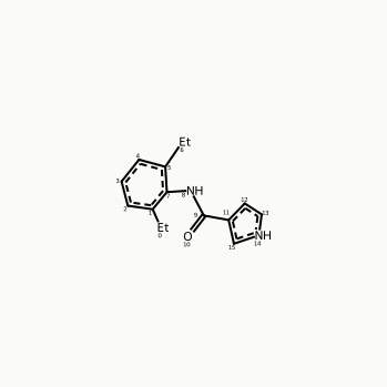 CCc1cccc(CC)c1NC(=O)c1cc[nH]c1